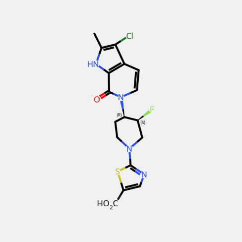 Cc1[nH]c2c(=O)n([C@@H]3CCN(c4ncc(C(=O)O)s4)C[C@@H]3F)ccc2c1Cl